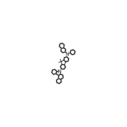 CC1(C)c2cc(N(c3ccccc3)c3ccc4ccccc4c3)ccc2-c2ccc(-n3c4ccccc4c4c5ccccc5ccc43)cc21